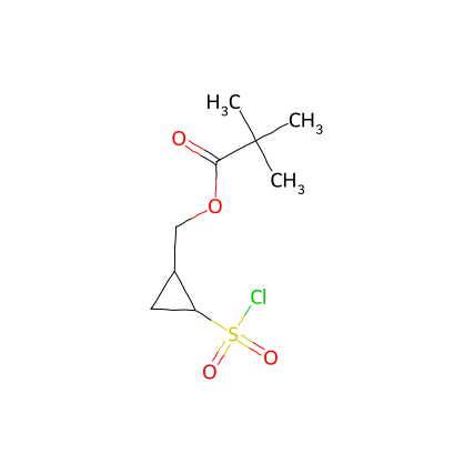 CC(C)(C)C(=O)OCC1CC1S(=O)(=O)Cl